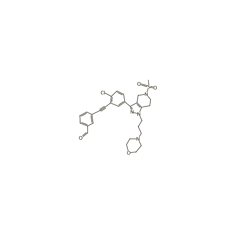 CS(=O)(=O)N1CCc2c(c(-c3ccc(Cl)c(C#Cc4cccc(C=O)c4)c3)nn2CCCN2CCOCC2)C1